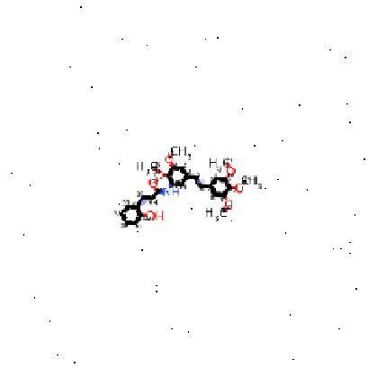 COc1cc(/C=C/c2cc(OC)c(OC)c(OC)c2)cc(NC(=O)/C=C/c2ccccc2O)c1OC